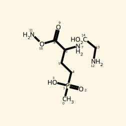 CP(=O)(O)CCC(N)C(=O)ON.NCC(=O)O